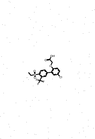 CCS(=O)(=O)c1ccc(-c2cc(Cl)ccc2OCC(=O)O)cc1C(F)(F)F